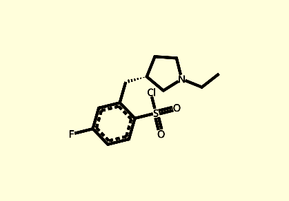 CCN1CC[C@@H](Cc2cc(F)ccc2S(=O)(=O)Cl)C1